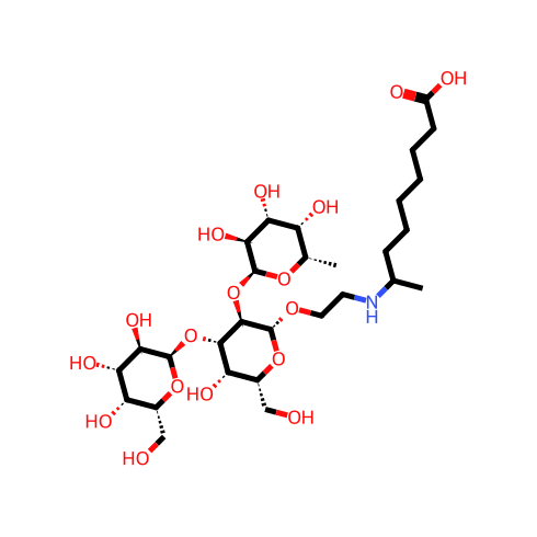 CC(CCCCCCC(=O)O)NCCO[C@@H]1O[C@H](CO)[C@H](O)[C@H](O[C@H]2O[C@H](CO)[C@H](O)[C@H](O)[C@H]2O)[C@H]1O[C@@H]1O[C@@H](C)[C@@H](O)[C@@H](O)[C@@H]1O